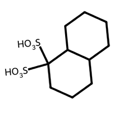 O=S(=O)(O)C1(S(=O)(=O)O)CCCC2CCCCC21